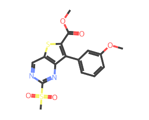 COC(=O)c1sc2cnc(S(C)(=O)=O)nc2c1-c1cccc(OC)c1